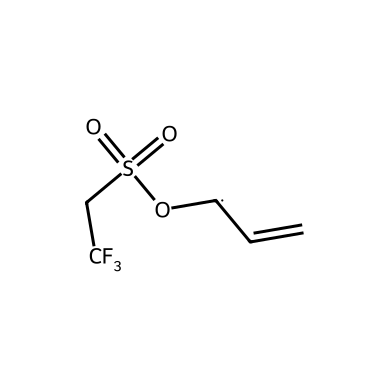 C=C[CH]OS(=O)(=O)CC(F)(F)F